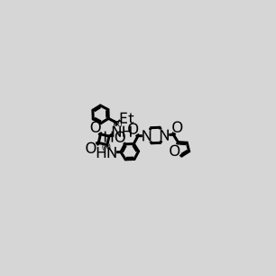 CC[C@@H](NC1C(=O)C(=O)[C@@H]1Nc1cccc(C(=O)N2CCN(C(=O)c3ccco3)CC2)c1O)c1ccccc1